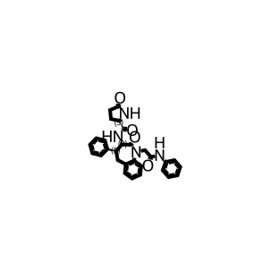 O=C(CN1C(=O)[C@H](NC(=O)[C@@H]2CCC(=O)N2)[C@H](c2ccccc2)Cc2ccccc21)Nc1ccccc1